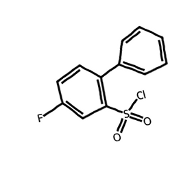 O=S(=O)(Cl)c1cc(F)ccc1-c1ccccc1